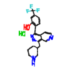 Cl.Oc1cc(C(F)(F)F)ccc1-c1nnc(CC2CCCNC2)c2cnccc12